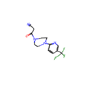 N#CCC(=O)N1CCN(c2ccc(C(F)(F)F)cn2)CC1